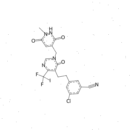 Cn1[nH]c(=O)c(Cn2cnc(C(F)(F)I)c(CCc3cc(Cl)cc(C#N)c3)c2=O)cc1=O